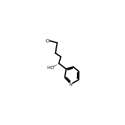 O[C@H](CCCCl)c1cccnc1